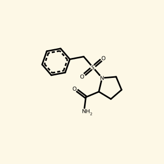 NC(=O)C1CCCN1S(=O)(=O)Cc1ccccc1